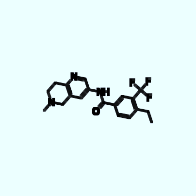 CCc1ccc(C(=O)Nc2cnc3c(c2)CN(C)CC3)cc1C(F)(F)F